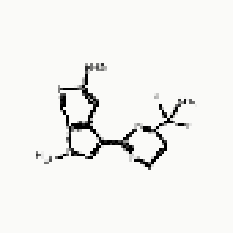 CC(=O)Nc1cc2c(-c3nccc(C(C)(F)F)n3)cn(C)c2cn1